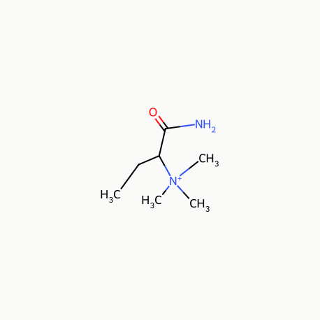 CCC(C(N)=O)[N+](C)(C)C